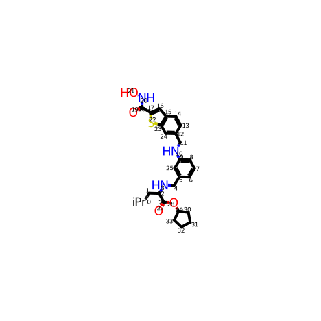 CC(C)CC(NCc1cccc(NCc2ccc3cc(C(=O)NO)sc3c2)c1)C(=O)OC1CCCC1